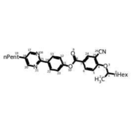 CCCCCCC(C)Oc1ccc(C(=O)Oc2ccc(-c3ncc(CCCCC)cn3)cc2)cc1C#N